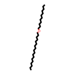 CCCCCCCCCCCCCCCCC[CH]OCCCCCCCCCCCC